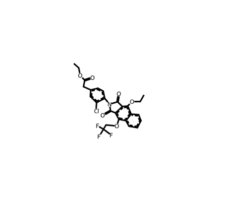 CCOC(=O)Cc1ccc(N2C(=O)c3c(c(OCC(F)(F)F)c4ccccc4c3OCC)C2=O)c(Cl)c1